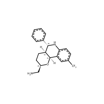 NC[C@H]1CC[C@@H]2[C@H](O1)c1cc(C(F)(F)F)ccc1N[C@H]2c1ccccc1